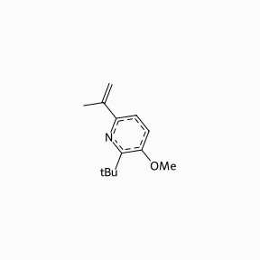 C=C(C)c1ccc(OC)c(C(C)(C)C)n1